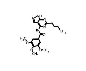 CCCCc1nc(NC(=O)c2cc(OC)c(OC)c(OC)c2)c2cn[nH]c2n1